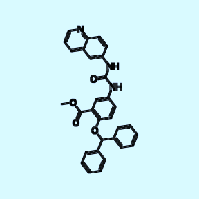 COC(=O)c1cc(NC(=O)Nc2ccc3ncccc3c2)ccc1OC(c1ccccc1)c1ccccc1